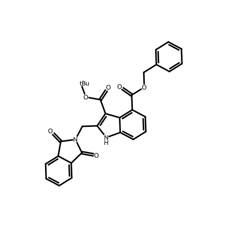 CC(C)(C)OC(=O)c1c(CN2C(=O)c3ccccc3C2=O)[nH]c2cccc(C(=O)OCc3ccccc3)c12